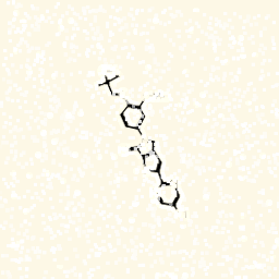 COc1cc(N2Cc3cc(-c4ncc(Cl)cn4)sc3C2=O)ccc1OCC(C)(C)O